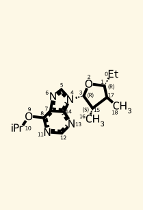 CC[C@H]1O[C@@H](n2cnc3c(OC(C)C)ncnc32)[C@@H](C)C1C